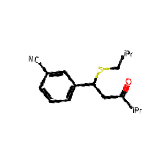 CC(C)CSC(CC(=O)C(C)C)c1cccc(C#N)c1